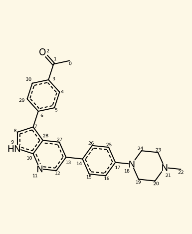 CC(=O)c1ccc(-c2c[nH]c3ncc(-c4ccc(N5CCN(C)CC5)cc4)cc23)cc1